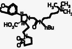 CCCCN(CCCC[N+](C)(C)C)C(=O)CN1C[C@H](c2ccc3c(c2)CCO3)[C@@H](C(=O)O)[C@@H]1CCN1CCCS1(=O)=O